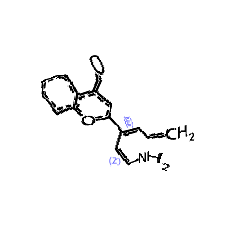 C=C/C=C(\C=C/N)c1cc(=O)c2ccccc2o1